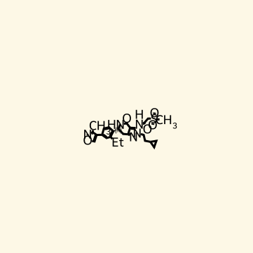 CCc1cc(-c2conc2C)ccc1[C@H]1Cc2nn(CCC3CC3)c(NC(=O)CS(C)(=O)=O)c2C(=O)N1